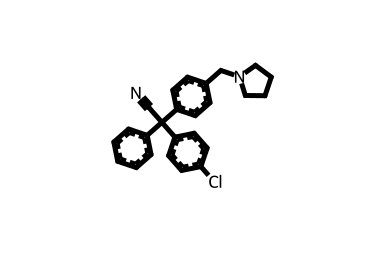 N#CC(c1ccccc1)(c1ccc(Cl)cc1)c1ccc(CN2CCCC2)cc1